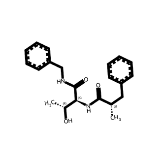 C[C@@H](Cc1ccccc1)C(=O)N[C@H](C(=O)NCc1ccccc1)[C@@H](C)O